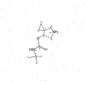 CC(C)(C)NC(=O)OC1CNCC12CC2